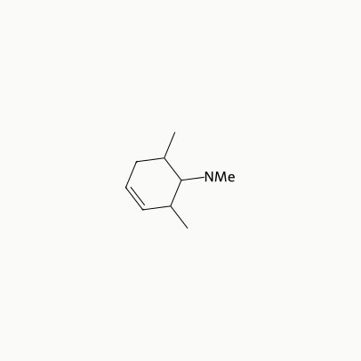 CNC1C(C)C=CCC1C